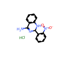 Cl.NC1=NC(c2ccccc2[N+](=O)[O-])Nc2ccccc21